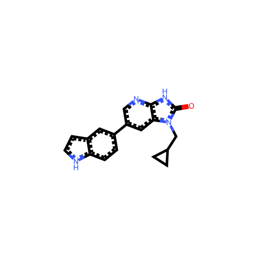 O=c1[nH]c2ncc(-c3ccc4[nH]ccc4c3)cc2n1CC1CC1